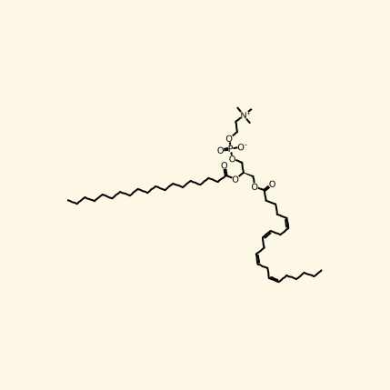 CCCCC/C=C\C/C=C\C/C=C\C/C=C\CCCC(=O)OC[C@H](COP(=O)([O-])OCC[N+](C)(C)C)OC(=O)CCCCCCCCCCCCCCCCCC